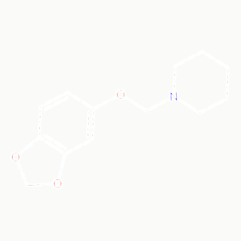 c1cc2c(cc1OCN1CCCCC1)OCO2